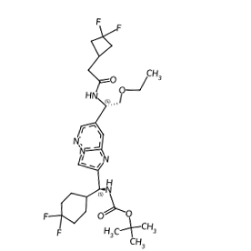 CCOC[C@@H](NC(=O)CC1CC(F)(F)C1)c1cnn2cc([C@@H](NC(=O)OC(C)(C)C)C3CCC(F)(F)CC3)nc2c1